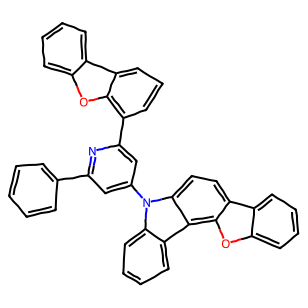 c1ccc(-c2cc(-n3c4ccccc4c4c5oc6ccccc6c5ccc43)cc(-c3cccc4c3oc3ccccc34)n2)cc1